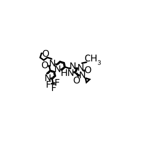 CCCn1c(=O)n(C2CC2)c(=O)c2[nH]c(-c3ccc(N(CC4CCCO4)C(=O)c4ccc(C(F)(F)F)nc4)nc3)nc21